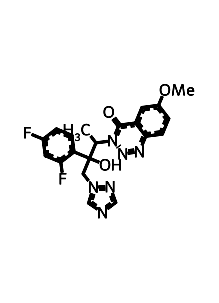 COc1ccc2nnn(C(C)C(O)(Cn3cncn3)c3ccc(F)cc3F)c(=O)c2c1